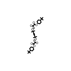 CC(C)(C#CC(C)(C)OOC(=O)C(=O)OC1CCC(C(C)(C)C)CC1)OOC(=O)C(=O)OC1CCC(C(C)(C)C)CC1